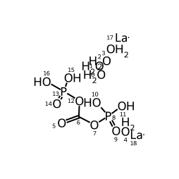 O.O.O.O.O.O=C(OP(=O)(O)O)OP(=O)(O)O.[La].[La]